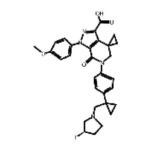 COc1ccc(-n2nc(C(=O)O)c3c2C(=O)N(c2ccc(C4(CN5CC[C@@H](F)C5)CC4)cc2)CC32CC2)cc1